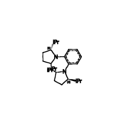 CC(C)C1CC[C@H](C(C)C)N1c1ccccc1N1C(C(C)C)CC[C@@H]1C(C)C